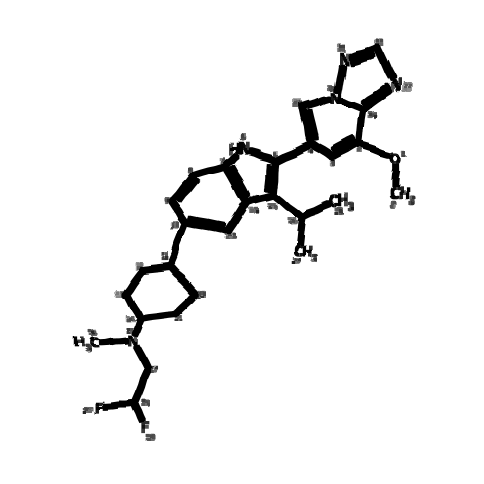 COc1cc(-c2[nH]c3ccc(C4CCC(N(C)CC(F)F)CC4)cc3c2C(C)C)cn2ncnc12